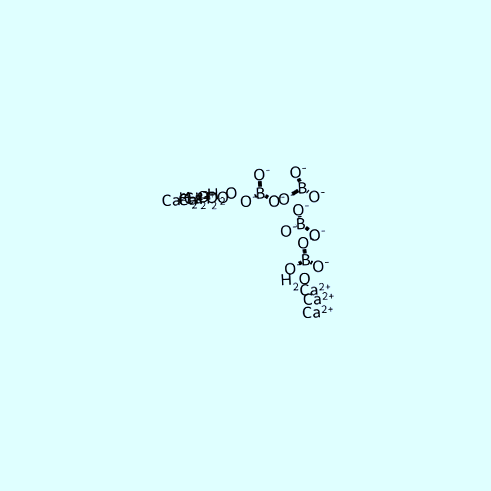 O.O.O.O.O.[Ca+2].[Ca+2].[Ca+2].[Ca+2].[Ca+2].[Ca+2].[O-]B([O-])[O-].[O-]B([O-])[O-].[O-]B([O-])[O-].[O-]B([O-])[O-]